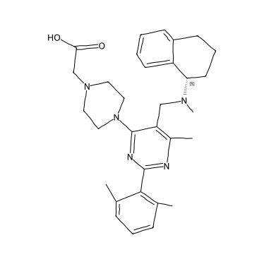 Cc1cccc(C)c1-c1nc(C)c(CN(C)[C@H]2CCCc3ccccc32)c(N2CCN(CC(=O)O)CC2)n1